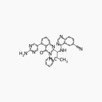 CC(C)[C@H](Nc1ncnc2ccc(C#N)cc12)c1nc2cccc(-c3cnc(N)nc3)c2c(=O)n1-c1ccccc1